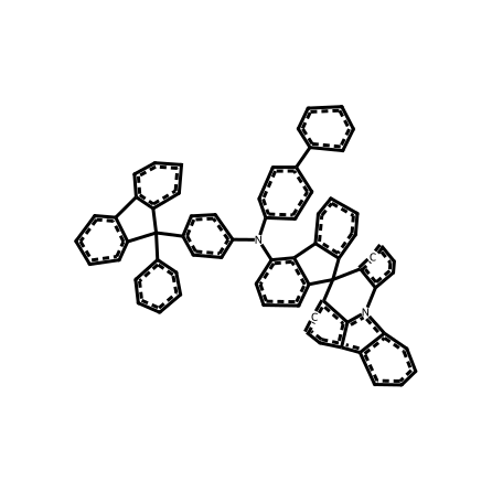 c1ccc(-c2ccc(N(c3ccc(C4(c5ccccc5)c5ccccc5-c5ccccc54)cc3)c3cccc4c3-c3ccccc3C43c4ccccc4-n4c5ccccc5c5cccc3c54)cc2)cc1